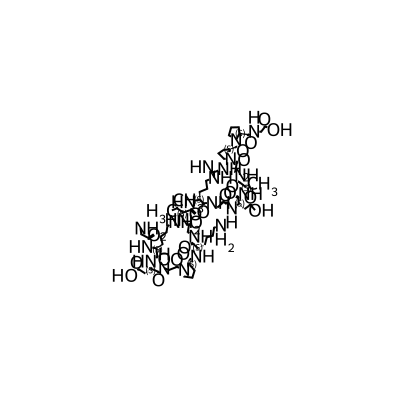 CC(C)[C@H](NC(=O)CNC(=O)[C@H](CCCCN)NC(=O)[C@@H]1CCCN1C(=O)CNC(=O)[C@H](CC(=O)O)NC(=O)[C@H](CCCCN)NC(=O)CN)C(=O)N[C@@H](CCCNC(=N)N)C(=O)NCC(=O)N[C@@H](CC(=O)O)C(=O)N[C@@H](C)C(=O)NCC(=O)N1CCC[C@H]1C(=O)N1CCC[C@H]1C(=O)NCC(=O)O